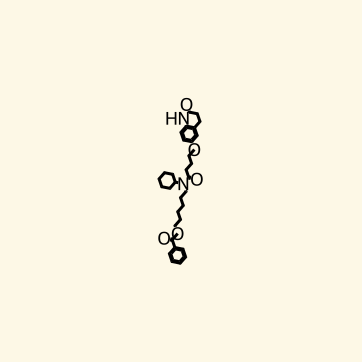 O=C1CCc2cc(OCCCC(=O)N(CCCCCCOC(=O)c3ccccc3)C3CCCCC3)ccc2N1